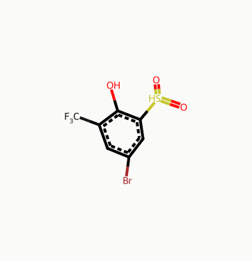 O=[SH](=O)c1cc(Br)cc(C(F)(F)F)c1O